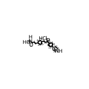 Cl.O=C(C=Cc1ccc(C=CC(=O)c2ccc(N3CCNCC3)cc2)cc1)NO